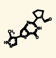 Cc1[nH]ncc1-c1cc2nc(C3CCCN3C=O)[nH]c(=O)c2s1